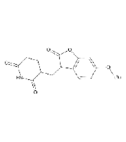 CC(C)(C)Oc1ccc2c(c1)OC(=O)C2CC1CCC(=O)NC1=O